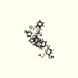 C[C@@H]1O[C@@H](O[C@H]2CC[C@@]3(C)[C@H](CC[C@@H]4[C@@H]3C[C@@H](OC(=O)OCc3ccccc3[N+](=O)[O-])[C@]3(C)[C@@H](C5=CC(=O)OC5)CC[C@]43O)C2)C=C[C@H]1O